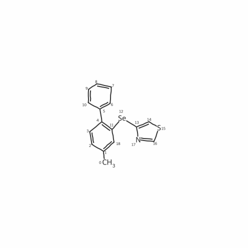 Cc1ccc(-c2ccccc2)c([Se]c2cscn2)c1